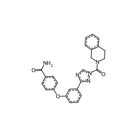 NC(=O)c1ccc(Oc2cccc(-c3ncn(C(=O)N4CCc5ccccc5C4)n3)c2)cc1